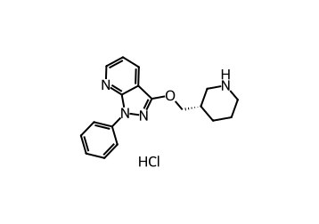 Cl.c1ccc(-n2nc(OC[C@H]3CCCNC3)c3cccnc32)cc1